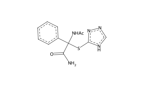 CC(=O)NC(Sc1nnc[nH]1)(C(N)=O)c1ccccc1